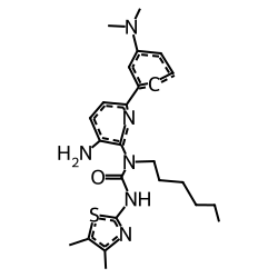 CCCCCCN(C(=O)Nc1nc(C)c(C)s1)c1nc(-c2cccc(N(C)C)c2)ccc1N